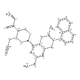 C=CC(=O)N1CCN(c2nc(OC)nc3c2CN(C)C(c2cccc4ccccc24)C3)CC1CC#N